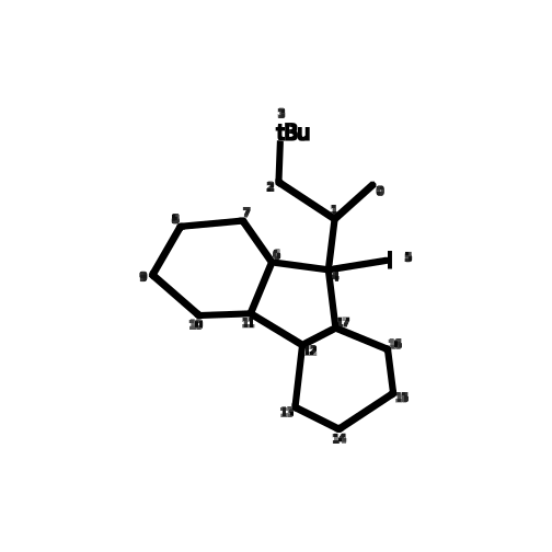 CC(CC(C)(C)C)C1(I)C2CCCCC2C2CCCCC21